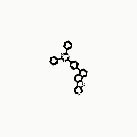 c1ccc(-c2nc(-c3ccccc3)nc(-c3ccc(-c4cccc5c4ccc4c6ccncc6oc54)cc3)n2)cc1